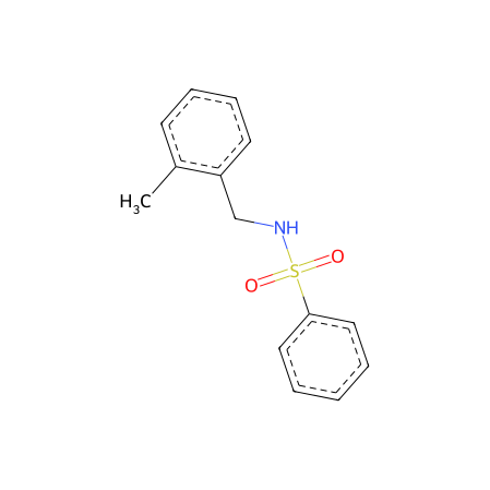 Cc1ccccc1CNS(=O)(=O)c1ccccc1